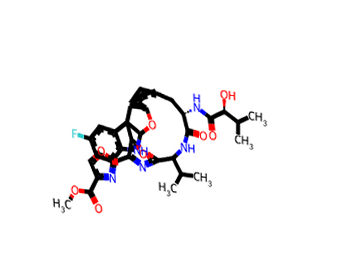 COC(=O)c1coc(-c2nc3oc2C24c5cc(F)ccc5NC2Oc2ccc(cc24)C[C@H](NC(=O)[C@@H](O)C(C)C)C(=O)NC3C(C)C)n1